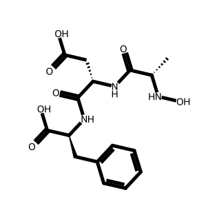 C[C@H](NO)C(=O)N[C@@H](CC(=O)O)C(=O)N[C@@H](Cc1ccccc1)C(=O)O